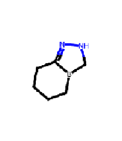 C1CCC2=NNCB2C1